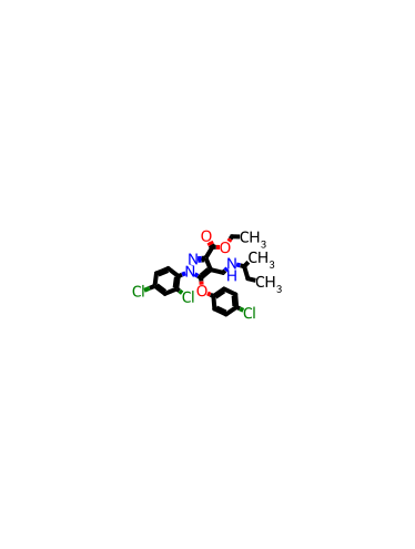 CCOC(=O)c1nn(-c2ccc(Cl)cc2Cl)c(Oc2ccc(Cl)cc2)c1CNC(C)CC